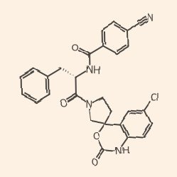 N#Cc1ccc(C(=O)N[C@@H](Cc2ccccc2)C(=O)N2CCC3(C2)OC(=O)Nc2ccc(Cl)cc23)cc1